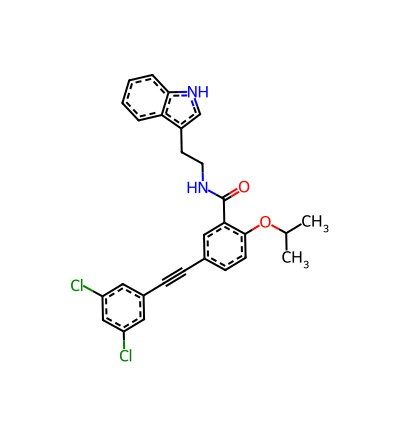 CC(C)Oc1ccc(C#Cc2cc(Cl)cc(Cl)c2)cc1C(=O)NCCc1c[nH]c2ccccc12